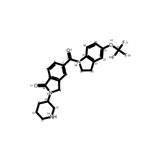 O=C(c1ccc2c(c1)CN(C1CCCNC1)C2=O)N1CCc2cc(OC(F)(F)F)ccc21